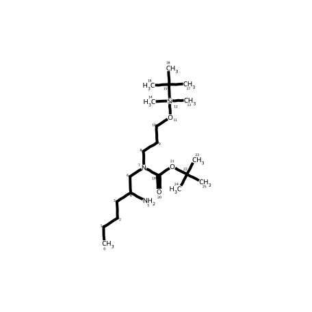 CCCCC(N)CN(CCCO[Si](C)(C)C(C)(C)C)C(=O)OC(C)(C)C